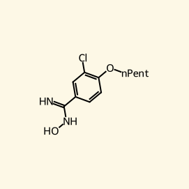 CCCCCOc1ccc(C(=N)NO)cc1Cl